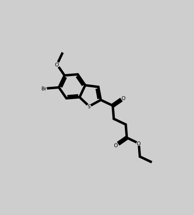 CCOC(=O)CCC(=O)c1cc2cc(OC)c(Br)cc2s1